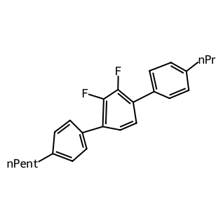 CCCCCc1ccc(-c2ccc(-c3ccc(CCC)cc3)c(F)c2F)cc1